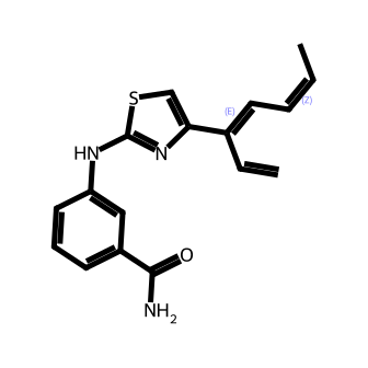 C=C/C(=C\C=C/C)c1csc(Nc2cccc(C(N)=O)c2)n1